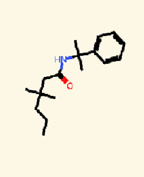 CCCC(C)(C)CC(=O)NC(C)(C)c1ccccc1